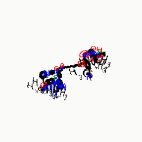 Cc1cc(F)c(Nc2nc(-c3ccc4c(c3)N(C3CC(N5CCCCC5)C3)C(=O)C43CCN(C(=O)CCCCCCCCCOc4cc(-c5scnc5C)ccc4CNC(=O)[C@@H]4C[C@@H](O)CN4C(=O)[C@@H](NC(=O)C4(F)CC4)C(C)(C)C)CC3)cc3ncn(C(C)C)c23)cc1C(=O)NC(C)C